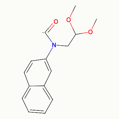 COC(CN([C]=O)c1ccc2ccccc2c1)OC